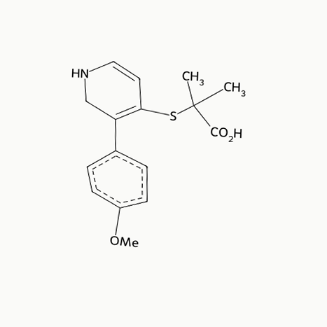 COc1ccc(C2=C(SC(C)(C)C(=O)O)C=CNC2)cc1